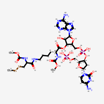 CC(C)(C)OC(=O)NC(CSSC(C)(C)C)C(=O)NCCCC[C@@H](NC(=O)OC(C)(C)C)C(=O)OC1C(COP(=O)(O)O[C@H]2C[C@H](n3ccc(N)nc3=O)O[C@@H]2COP(=O)(O)O)OC(n2cnc3c(N)ncnc32)C1O